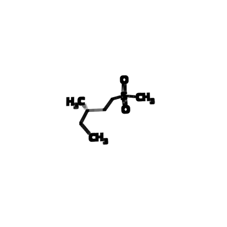 CC[C@H](C)CCS(C)(=O)=O